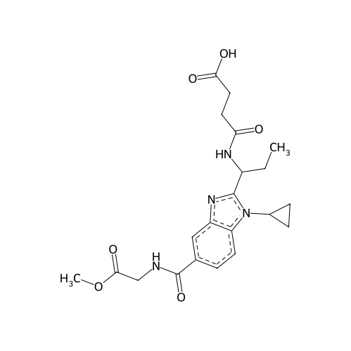 CCC(NC(=O)CCC(=O)O)c1nc2cc(C(=O)NCC(=O)OC)ccc2n1C1CC1